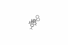 CCc1cc(C(C)C)cc(CC)c1NC(=S)NC1CCCC2CCCCC21